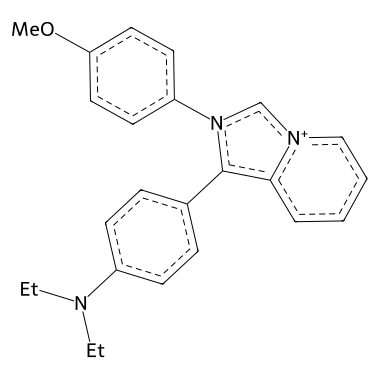 CCN(CC)c1ccc(-c2c3cccc[n+]3cn2-c2ccc(OC)cc2)cc1